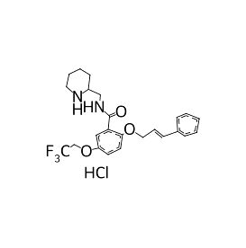 Cl.O=C(NCC1CCCCN1)c1cc(OCC(F)(F)F)ccc1OCC=Cc1ccccc1